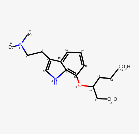 CCN(CCc1c[nH]c2c(OC(CC=O)CCC(=O)O)cccc12)C(C)C